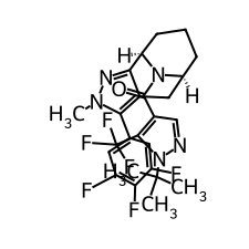 Cn1nc2c(c1-c1cc(F)c(F)c(F)c1)C[C@@H]1CCC[C@H]2N1C(=O)c1cnn(C(C)(C)C)c1C(F)(F)F